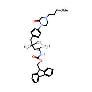 COCCCN1CCN(c2ccc(CC(C)(C)C[C@H](NC(=O)OCC3c4ccccc4-c4ccccc43)C(=O)O)cc2)C(=O)C1